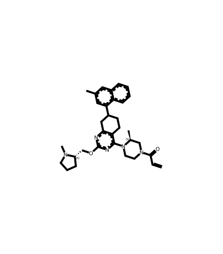 C=CC(=O)N1CCN(c2nc(OC[C@@H]3CCCN3C)nc3c2CCC(c2cc(C)cc4ccccc24)C3)[C@@H](C)C1